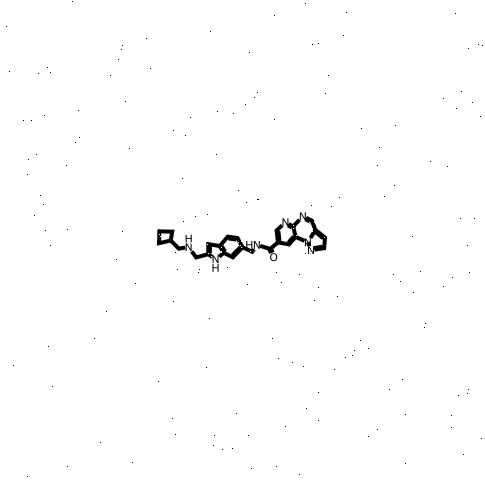 O=C(NCc1ccc2cc(CNCC3CCC3)[nH]c2c1)c1cnc2ncc3ccnn3c2c1